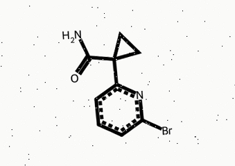 NC(=O)C1(c2cccc(Br)n2)CC1